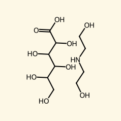 O=C(O)C(O)C(O)C(O)C(O)CO.OCCNCCO